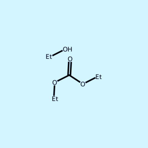 CCO.CCOC(=O)OCC